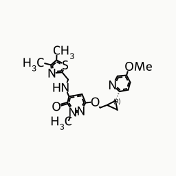 COc1ccc([C@@H]2CC2COc2cc(NCc3nc(C)c(C)s3)c(=O)n(C)n2)nc1